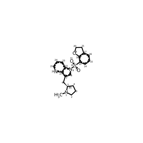 CN1CCC[C@@H]1Cc1cn(S(=O)(=O)c2cccc3c2OCC3)c2cccnc12